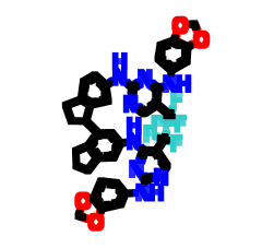 FC(F)(F)c1cnc(Nc2ccc3c(c2)C(c2cc(Nc4nc(Nc5ccc6c(c5)OCO6)ncc4C(F)(F)F)cc4c2CCC4)CC3)nc1Nc1ccc2c(c1)OCO2